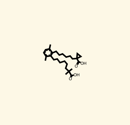 Cc1ccc(C)c(CCCCCCC2(C(=O)O)CC2)c1CCCCCCC(C)(C)C(=O)O